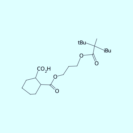 CCC(C)C(C)(C(=O)OCCCOC(=O)C1CCCCC1C(=O)O)C(C)(C)C